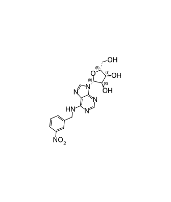 O=[N+]([O-])c1cccc(CNc2ncnc3c2ncn3[C@@H]2O[C@H](CO)[C@@H](O)[C@H]2O)c1